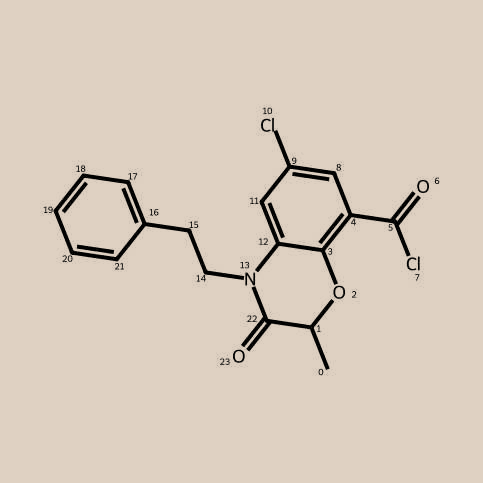 CC1Oc2c(C(=O)Cl)cc(Cl)cc2N(CCc2ccccc2)C1=O